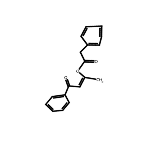 CC(=CC(=O)c1ccccc1)OC(=O)Cc1ccccc1